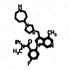 Cc1cncc2c1c(C[C@H]1CCN(C3CCCNCC3)C1)cn2-c1ccc(F)cc1C(=O)N(C)C(C)C